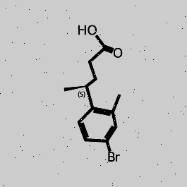 Cc1cc(Br)ccc1[C@@H](C)CCC(=O)O